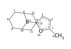 Cc1ccc(B2C3CCCC2CCC3)o1